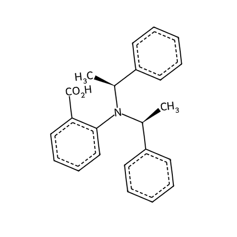 C[C@@H](c1ccccc1)N(c1ccccc1C(=O)O)[C@@H](C)c1ccccc1